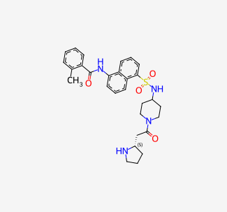 Cc1ccccc1C(=O)Nc1cccc2c(S(=O)(=O)NC3CCN(C(=O)C[C@@H]4CCCN4)CC3)cccc12